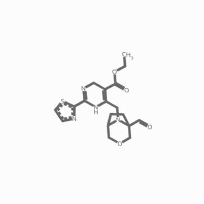 CCOC(=O)C1=C(CN2C3CCC2(C=O)COC3)NC(c2nccs2)=NC1